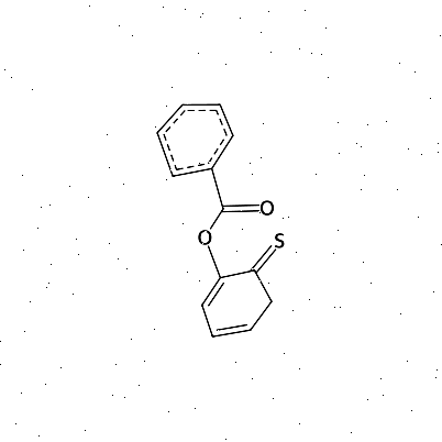 O=C(OC1=CC=CCC1=S)c1ccccc1